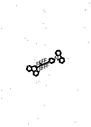 FC(F)(c1ccc(-n2c3ccccc3c3ccccc32)cc1)C(F)(F)C(F)(F)C(F)(F)c1cc2ccccc2c2ccccc12